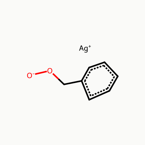 [Ag+].[O-]OCc1ccccc1